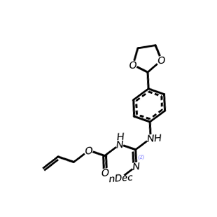 C=CCOC(=O)N/C(=N\CCCCCCCCCC)Nc1ccc(C2OCCO2)cc1